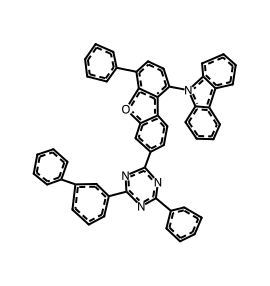 c1ccc(-c2cccc(-c3nc(-c4ccccc4)nc(-c4ccc5c(c4)oc4c(-c6ccccc6)ccc(-n6c7ccccc7c7ccccc76)c45)n3)c2)cc1